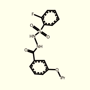 CC(C)Oc1cccc(C(=O)NNS(=O)(=O)c2ccccc2F)c1